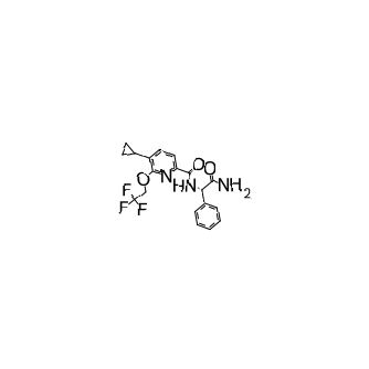 NC(=O)[C@@H](NC(=O)c1ccc(C2CC2)c(OCC(F)(F)F)n1)c1ccccc1